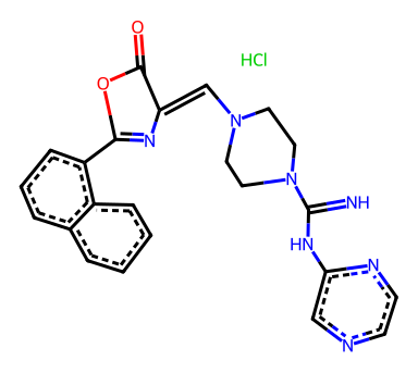 Cl.N=C(Nc1cnccn1)N1CCN(C=C2N=C(c3cccc4ccccc34)OC2=O)CC1